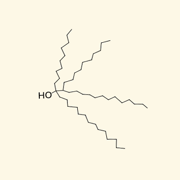 CCCCCCCCCCCCCCC(O)(CCCCCCCCCC)C(CCCCCCCCCC)CCCCCCCCCCCCC